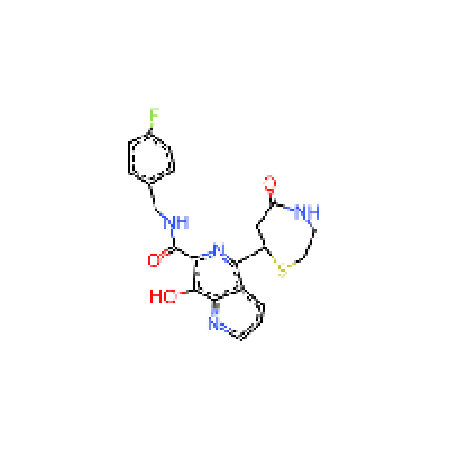 O=C1CC(c2nc(C(=O)NCc3ccc(F)cc3)c(O)c3ncccc23)SCCN1